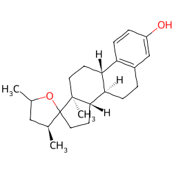 CC1C[C@H](C)C2(CC[C@H]3[C@@H]4CCc5cc(O)ccc5[C@H]4CC[C@@]32C)O1